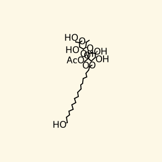 CC(=O)OCC1O[C@@H](O[C@@H]2C(C)OC(CO)[C@@H](O)C2O)[C@@H](O)C(O)[C@@H]1OC(=O)CCCCCCCCCCCCCCCCCO